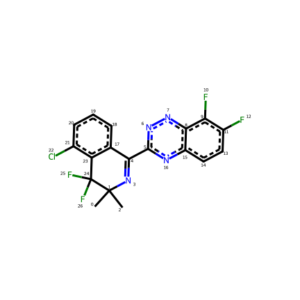 CC1(C)N=C(c2nnc3c(F)c(F)ccc3n2)c2cccc(Cl)c2C1(F)F